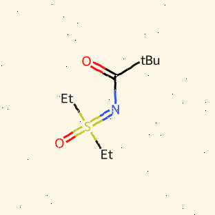 CCS(=O)(CC)=NC(=O)C(C)(C)C